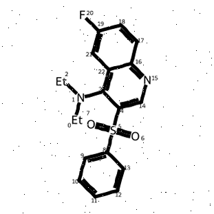 CCN(CC)c1c(S(=O)(=O)c2ccccc2)cnc2ccc(F)cc12